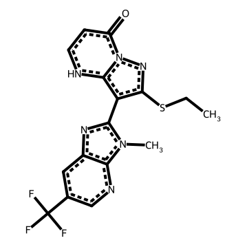 CCSc1nn2c(=O)cc[nH]c2c1-c1nc2cc(C(F)(F)F)cnc2n1C